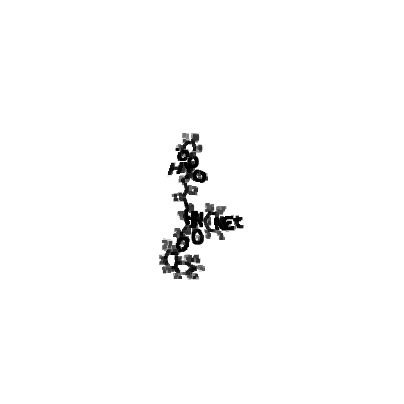 CCN1CCC(NC(=O)C(=CCCCCC(=O)NOC2CCCCO2)COc2cccc3ccccc23)CC1